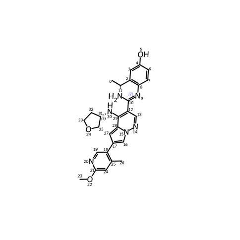 CCc1cc(O)ccc1/N=C(\N)c1cnn2cc(-c3cnc(OC)cc3C)cc2c1N[C@H]1CCOC1